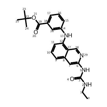 CCNC(=O)Nc1cc2cccc(Nc3cccc(C(=O)OC(C)(C)C)c3)c2cn1